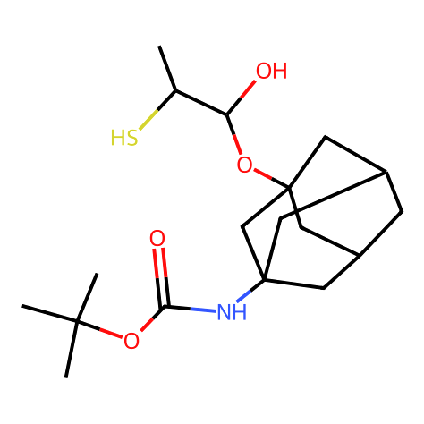 CC(S)C(O)OC12CC3CC(CC(NC(=O)OC(C)(C)C)(C3)C1)C2